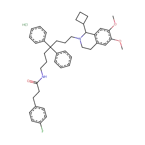 COc1cc2c(cc1OC)C(C1CCC1)N(CCCC(CCCNC(=O)CCc1ccc(F)cc1)(c1ccccc1)c1ccccc1)CC2.Cl